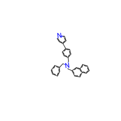 c1ccc(CN(Cc2ccc(-c3ccncc3)cc2)Cc2ccc3ccccc3c2)cc1